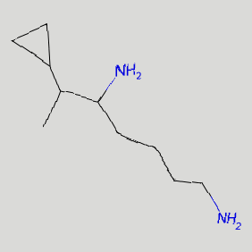 CC(C(N)CCCCN)C1CC1